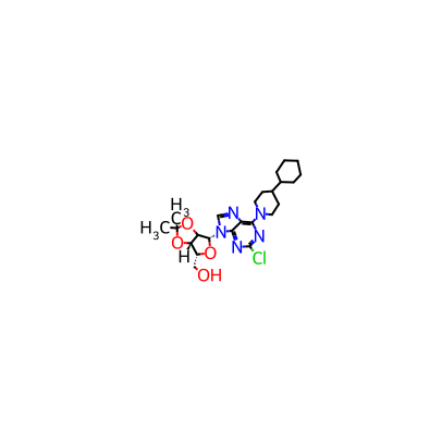 CC1(C)OC2[C@@H](O1)[C@@H](CO)O[C@H]2n1cnc2c(N3CCC(C4CCCCC4)CC3)nc(Cl)nc21